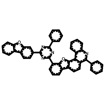 c1ccc(-c2nc(-c3ccc4c(c3)oc3ccccc34)nc(-c3cccc4c3oc3c4ccc4c(-c5ccccc5)nc5ccccc5c43)n2)cc1